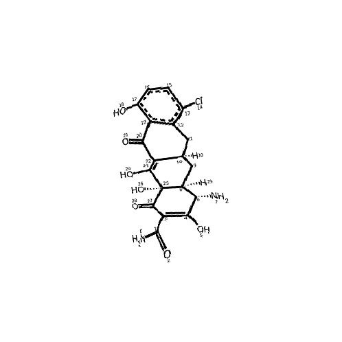 NC(=O)C1=C(O)[C@@H](N)[C@@H]2C[C@@H]3Cc4c(Cl)ccc(O)c4C(=O)C3=C(O)[C@]2(O)C1=O